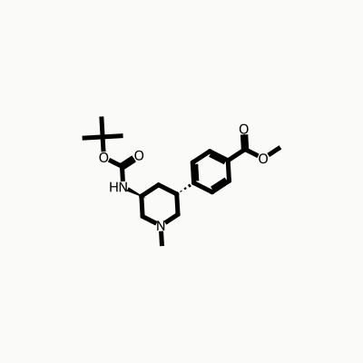 COC(=O)c1ccc([C@H]2C[C@H](NC(=O)OC(C)(C)C)CN(C)C2)cc1